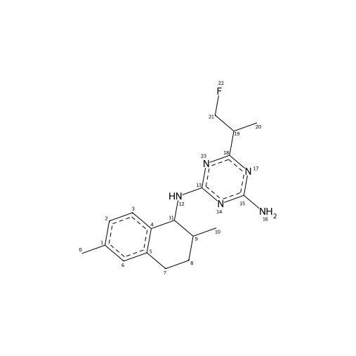 Cc1ccc2c(c1)CCC(C)C2Nc1nc(N)nc(C(C)CF)n1